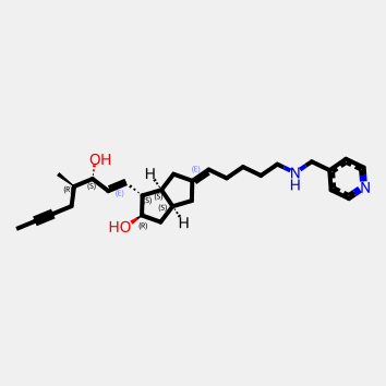 CC#CC[C@@H](C)[C@H](O)/C=C/[C@@H]1[C@H]2C/C(=C/CCCCNCc3ccncc3)C[C@H]2C[C@H]1O